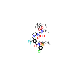 CCS(=O)(=O)c1ccc(Cl)cc1N(C)C(=O)c1cc(Cl)c(CN2CCC[C@H](N(CCN(C)C(=O)OC(C)(C)C)C(=O)O)C2)c(C(F)(F)F)c1